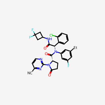 CCc1cc(F)cc(N(C(=O)[C@@H]2CCC(=O)N2c2nccc(C#N)n2)[C@H](C(=O)NC2CC(F)(F)C2)c2ccccc2Cl)c1